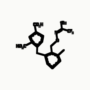 Cc1cccc(Cc2ccc(C(=O)O)cc2C(=O)O)c1CON=C(C(C)(C)C)C(F)(F)F